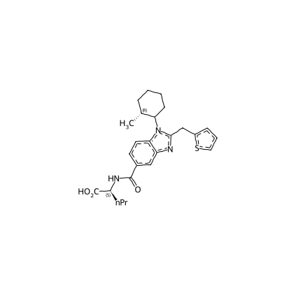 CCC[C@H](NC(=O)c1ccc2c(c1)nc(Cc1cccs1)n2C1CCCC[C@H]1C)C(=O)O